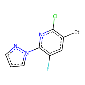 CCc1cc(F)c(-n2cccn2)nc1Cl